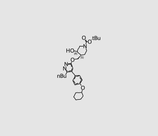 CCCCc1nnc(OC[C@@H]2CCN(C(=O)OC(C)(C)C)C[C@@H]2O)cc1-c1ccc(OC2CCCCC2)cc1